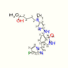 C[C@@H](O)CCCCN(C)c1ccc(Nc2ccc(-c3cnc4cc(F)ccn34)c3c2C(=O)NC3)nc1